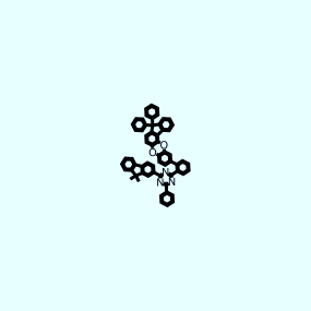 CC1(C)c2ccccc2-c2ccc(-c3nc(-c4ccccc4)nc(-c4ccccc4-c4ccc5c(c4)Oc4c(ccc6c4-c4ccccc4C6(c4ccccc4)c4ccccc4)O5)n3)cc21